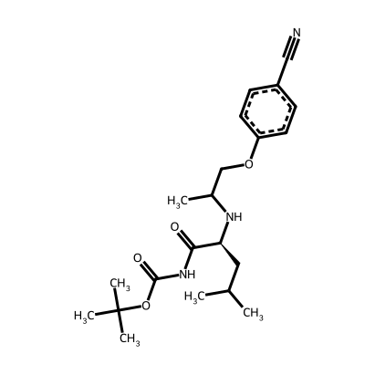 CC(C)C[C@H](NC(C)COc1ccc(C#N)cc1)C(=O)NC(=O)OC(C)(C)C